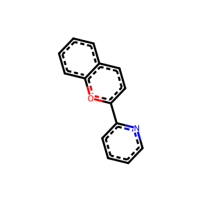 c1ccc(-c2ccc3ccccc3[o+]2)nc1